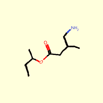 CCC(C)OC(=O)CC(C)CN